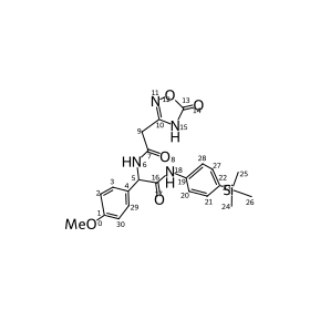 COc1ccc(C(NC(=O)Cc2noc(=O)[nH]2)C(=O)Nc2ccc([Si](C)(C)C)cc2)cc1